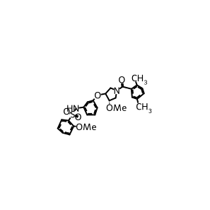 COc1ccccc1S(=O)(=O)Nc1cccc(OC2CN(C(=O)c3cc(C)ccc3C)C[C@@H]2OC)c1